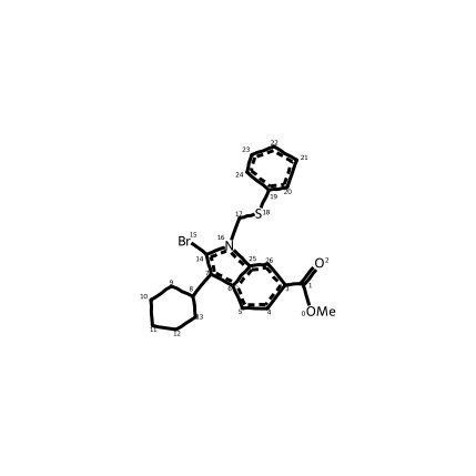 COC(=O)c1ccc2c(C3CCCCC3)c(Br)n(CSc3ccccc3)c2c1